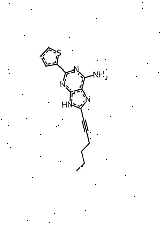 CCCCC#Cc1nc2c(N)nc(-c3cccs3)nc2[nH]1